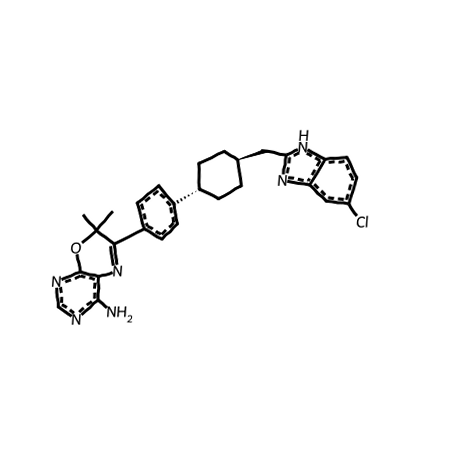 CC1(C)Oc2ncnc(N)c2N=C1c1ccc([C@H]2CC[C@H](Cc3nc4cc(Cl)ccc4[nH]3)CC2)cc1